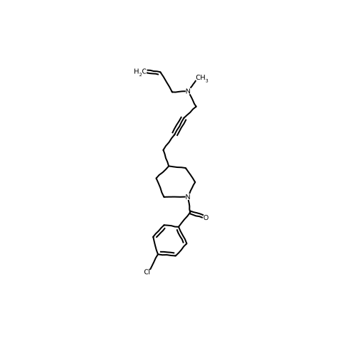 C=CCN(C)CC#CCC1CCN(C(=O)c2ccc(Cl)cc2)CC1